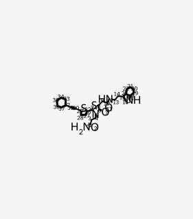 NC(=O)CCN1C(=O)C(CC(=O)NCCc2c[nH]c3ccccc23)SC1c1ccc(C#Cc2ccccc2)s1